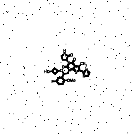 COc1ccc(F)cc1C(Cn1c(=O)n(C2CCNC2=O)c(=O)c2c(C)c(-n3nccn3)sc21)OC1CC(O)C1